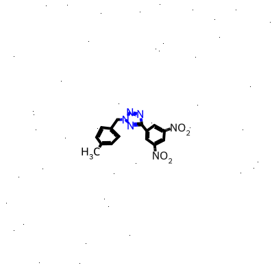 Cc1ccc(Cn2nnc(-c3cc([N+](=O)[O-])cc([N+](=O)[O-])c3)n2)cc1